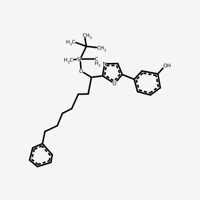 CC(C)(C)[Si](C)(C)OC(CCCCCCc1ccccc1)c1ncc(-c2cccc(O)c2)o1